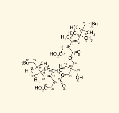 C/C(=C\C(C)(C)C(C)(C)CC(C)(C)C)C(CC(=O)O)C(=O)OCC(CO)(CO)COC(=O)C(CC(=O)O)/C(C)=C/C(C)(C)C(C)(C)CC(C)(C)C